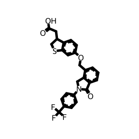 O=C(O)CC1CSc2cc(OCc3cccc4c3CN(c3ccc(C(F)(F)F)cc3)C4=O)ccc21